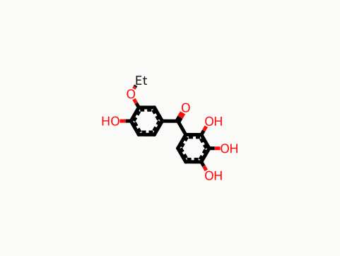 CCOc1cc(C(=O)c2ccc(O)c(O)c2O)ccc1O